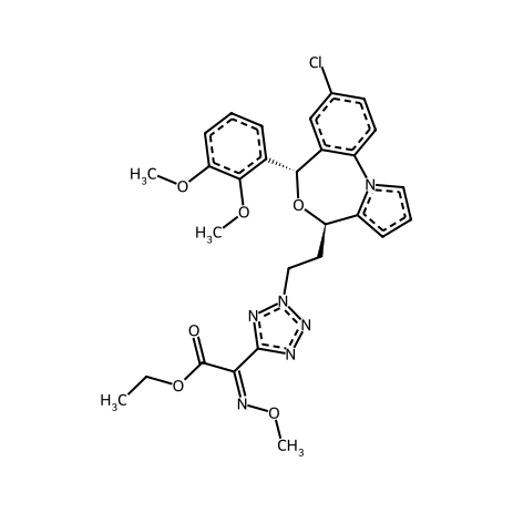 CCOC(=O)/C(=N/OC)c1nnn(CC[C@H]2O[C@H](c3cccc(OC)c3OC)c3cc(Cl)ccc3-n3cccc32)n1